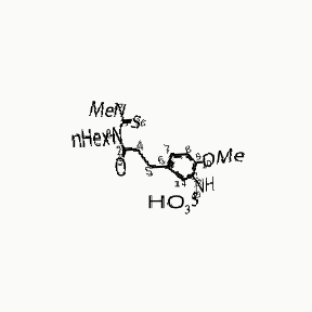 CCCCCCN(C(=O)CCc1ccc(OC)c(NS(=O)(=O)O)c1)C(=S)NC